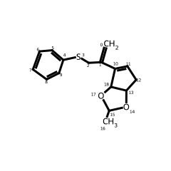 C=C(CSc1ccccc1)C1=CCC2OC(C)OC12